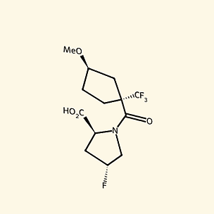 CO[C@@H]1CC[C@@](C(=O)N2C[C@H](F)C[C@H]2C(=O)O)(C(F)(F)F)C1